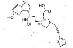 COc1ccc2nccc(C(CC[C@@H]3CCN(CC#Cc4cccs4)C[C@@H]3CC(=O)O)NO)c2c1